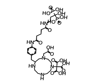 O=C(O)CN1CCN(C(C(=O)O)(C(=O)O)C(=O)O)CCNCCNC(Cc2ccc(NC(=O)CCCC(=O)NCCC(O)(P(=O)(O)O)P(=O)(O)O)cc2)C1